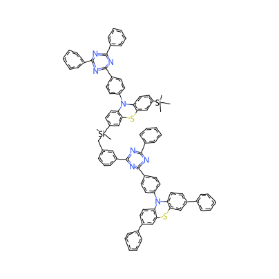 C[Si](C)(C)c1ccc2c(c1)Sc1cc([Si](C)(C)Cc3cccc(-c4nc(-c5ccccc5)nc(-c5ccc(N6c7ccc(-c8ccccc8)cc7Sc7cc(-c8ccccc8)ccc76)cc5)n4)c3)ccc1N2c1ccc(-c2nc(-c3ccccc3)nc(-c3ccccc3)n2)cc1